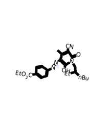 CCCCC(CC)Cn1c(O)c(/N=N/c2ccc(C(=O)OCC)cc2)c(C)c(C#N)c1=O